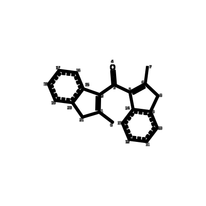 CC1=C(C(=O)C2=C(C)Cc3ccccc32)c2ccccc2C1